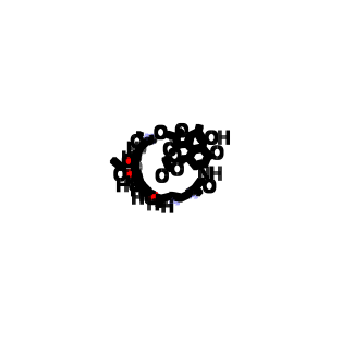 CO[C@H]1/C=C/O[C@@]2(C)Oc3c(C)c(O)c4c(c3C2=O)C(C2OCC(=O)O2)C=C(NC(=O)/C(C)=C\C=C\[C@H](C)[C@H](O)[C@@H](C)[C@@H](O)[C@@H](C)[C@H](OC(C)=O)[C@@H]1C)C4=O